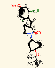 CC(C)[Si](O[C@H]1CC[C@@H](N2CC[C@@H](Cc3c(Cl)cc(O)cc3Cl)C2=O)CC1)(C(C)C)C(C)C